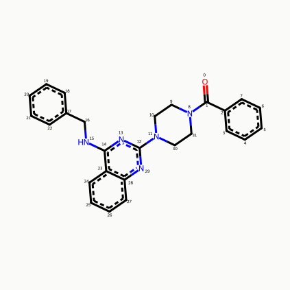 O=C(c1ccccc1)N1CCN(c2nc(NCc3ccccc3)c3ccccc3n2)CC1